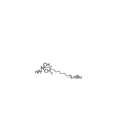 CCCC/C=C/CCCCCCCCC(C)(C)[N]CCC